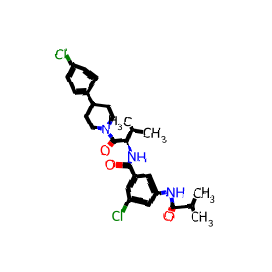 CC(C)C(=O)Nc1cc(Cl)cc(C(=O)N[C@@H](C(=O)N2CCC(c3ccc(Cl)cc3)CC2)C(C)C)c1